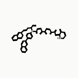 C=CC(C/C=C/C1C=c2ccccc2=CC1)N(C(=C)/C=C\C(=C)C(=C)/C=C\C(=C)C(=C)/C=C1/NCC=CC1=C)c1ccc(-c2ccc3ccccc3c2)cc1